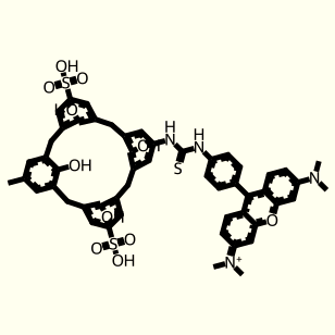 Cc1cc2c(O)c(c1)Cc1cc(S(=O)(=O)O)cc(c1O)Cc1cc(NC(=S)Nc3ccc(-c4c5ccc(=[N+](C)C)cc-5oc5cc(N(C)C)ccc45)cc3)cc(c1O)Cc1cc(S(=O)(=O)O)cc(c1O)C2